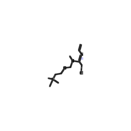 C=C/N=C(/CCl)N(C)COCC[Si](C)(C)C